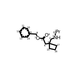 CC(C)NCC1(CC(=O)OCc2ccccc2)CCC1